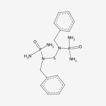 NP(N)(=O)N(Cc1ccccc1)SN(Cc1ccccc1)P(N)(N)=O